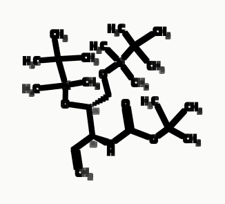 C=C[C@H](NC(=O)OC(C)(C)C)[C@@H](CO[Si](C)(C)C(C)(C)C)O[Si](C)(C)C(C)(C)C